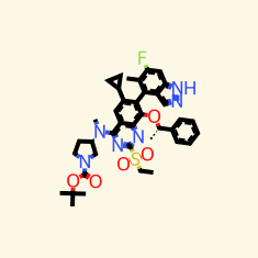 CCS(=O)(=O)c1nc(N(C)[C@H]2CCN(C(=O)OC(C)(C)C)C2)c2cc(C3CC3)c(-c3c(C)c(F)cc4[nH]ncc34)c(O[C@@H](C)c3ccccc3)c2n1